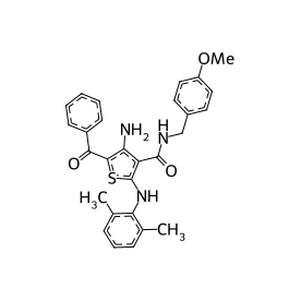 COc1ccc(CNC(=O)c2c(Nc3c(C)cccc3C)sc(C(=O)c3ccccc3)c2N)cc1